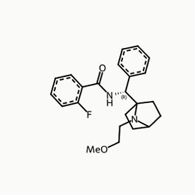 COCCN1C2CCC1([C@H](NC(=O)c1ccccc1F)c1ccccc1)CC2